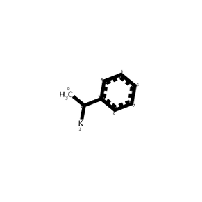 C[CH]([K])c1ccccc1